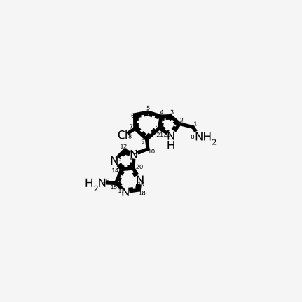 NCc1cc2ccc(Cl)c(Cn3cnc4c(N)ncnc43)c2[nH]1